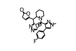 Cn1cc(-c2ccc(F)cc2)c(C(=O)N2CCCCC2C(C2=CCC(=O)O2)c2nnco2)n1